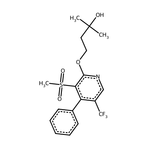 CC(C)(O)CCOc1ncc(C(F)(F)F)c(-c2ccccc2)c1S(C)(=O)=O